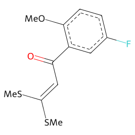 COc1ccc(F)cc1C(=O)C=C(SC)SC